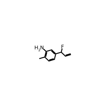 C=CC(F)c1ccc(C)c(N)c1